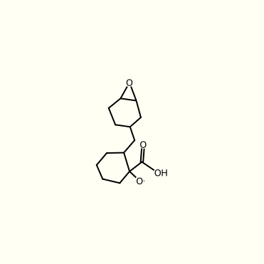 [O]C1(C(=O)O)CCCCC1CC1CCC2OC2C1